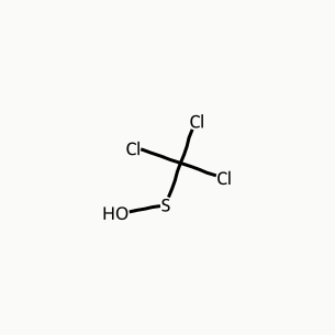 OSC(Cl)(Cl)Cl